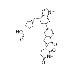 Cn1ccc2c(CN3CCCC3)cc(-c3ccc4c(c3)CN(C3CCC(=O)NC3=O)C4=O)nc21.O=CO